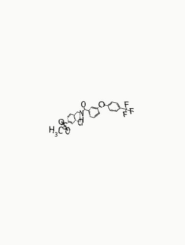 CS(=O)(=O)c1ccc(CNC(=O)c2cccc(Oc3ccc(C(F)(F)F)cc3)c2)c(Cl)c1